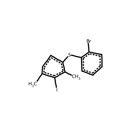 Cc1ccc(Sc2ccccc2Br)c(C)c1I